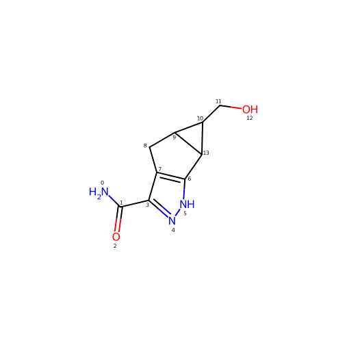 NC(=O)c1n[nH]c2c1CC1C(CO)C21